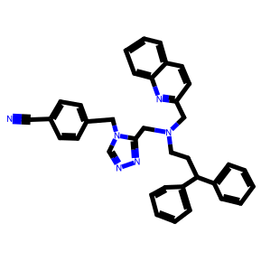 N#Cc1ccc(Cn2cnnc2CN(CCC(c2ccccc2)c2ccccc2)Cc2ccc3ccccc3n2)cc1